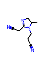 CC1CN=C(CC#N)N1CCC#N